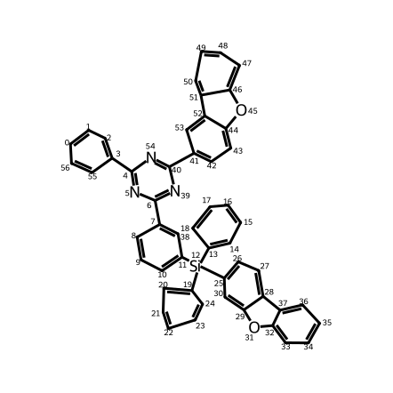 c1ccc(-c2nc(-c3cccc([Si](c4ccccc4)(c4ccccc4)c4ccc5c(c4)oc4ccccc45)c3)nc(-c3ccc4oc5ccccc5c4c3)n2)cc1